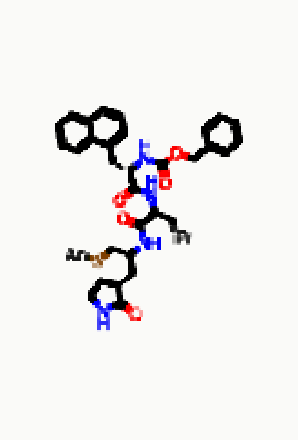 CC(=O)SC[C@H](C[C@@H]1CCNC1=O)NC(=O)[C@H](CC(C)C)NC(=O)[C@H](Cc1cccc2ccccc12)NC(=O)OCc1ccccc1